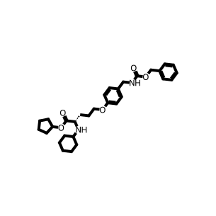 O=C(NCc1ccc(OCCC[C@H](NC2CCCCC2)C(=O)OC2CCCC2)cc1)OCc1ccccc1